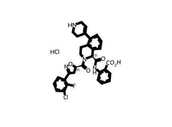 Cl.O=C(O)c1ccccc1NC(=O)[C@@H]1c2cccc(C3=CCNCC3)c2CCN1C(=O)[C@H]1CC(c2cccc(Cl)c2F)=NO1